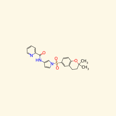 CC1(C)CCc2cc(S(=O)(=O)n3ccc(NC(=O)c4ccccn4)c3)ccc2O1